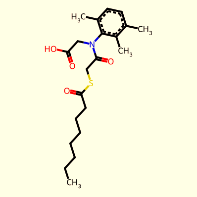 CCCCCCCC(=O)SCC(=O)N(CC(=O)O)c1c(C)ccc(C)c1C